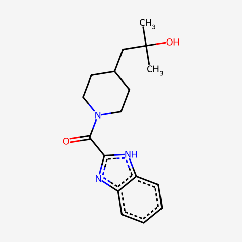 CC(C)(O)CC1CCN(C(=O)c2nc3ccccc3[nH]2)CC1